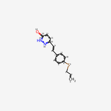 C=CCSc1ccc(/C=C/c2ccc(=O)[nH]n2)cc1